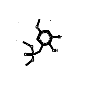 COc1cc(Br)c(O)c(CP(=O)(OC)OC)c1